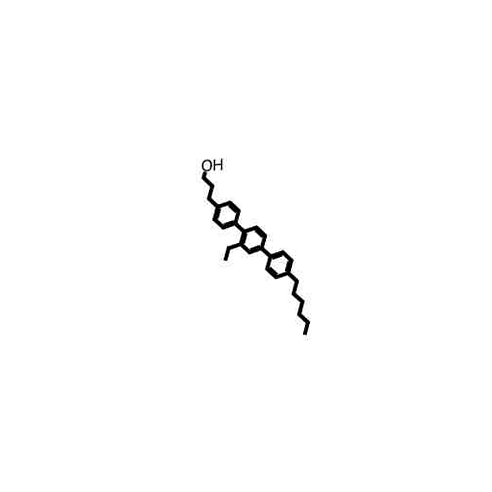 CCCCCCc1ccc(-c2ccc(-c3ccc(CCCO)cc3)c(CC)c2)cc1